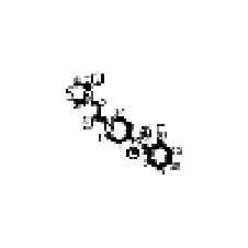 O=C(CN1CSCC1=O)N1CCC(S(=O)(=O)c2ccccc2F)CC1